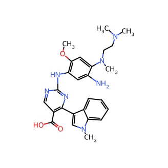 COc1cc(N(C)CCN(C)C)c(N)cc1Nc1ncc(C(=O)O)c(-c2cn(C)c3ccccc23)n1